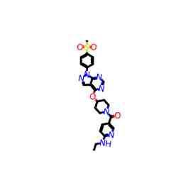 CCNc1ccc(C(=O)N2CCC(Oc3ncnc4c3cnn4-c3ccc(S(C)(=O)=O)cc3)CC2)cn1